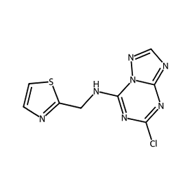 Clc1nc(NCc2nccs2)n2ncnc2n1